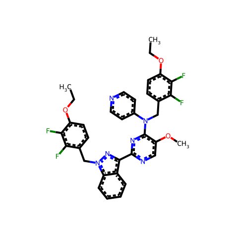 CCOc1ccc(CN(c2ccncc2)c2nc(-c3nn(Cc4ccc(OCC)c(F)c4F)c4ccccc34)ncc2OC)c(F)c1F